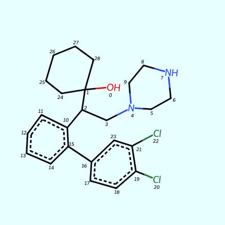 OC1(C(CN2CCNCC2)c2ccccc2-c2ccc(Cl)c(Cl)c2)CCCCC1